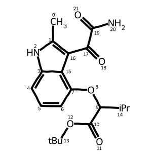 Cc1[nH]c2cccc(OC(C(=O)OC(C)(C)C)C(C)C)c2c1C(=O)C(N)=O